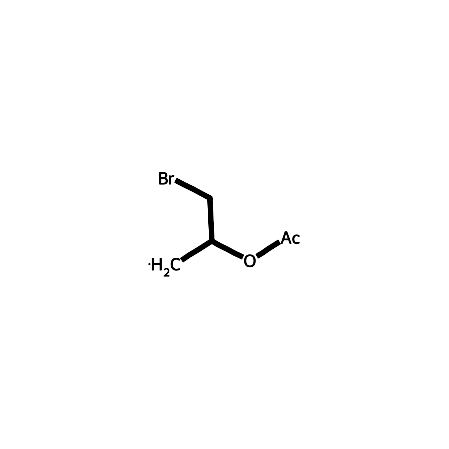 [CH2]C(CBr)OC(C)=O